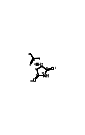 B.C=C(C)C.O=C1CCC(=O)N1